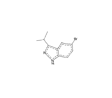 CC(C)c1n[nH]c2ccc(Br)cc12